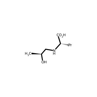 CC(C)[C@H](NC[C@H](C)O)C(=O)O